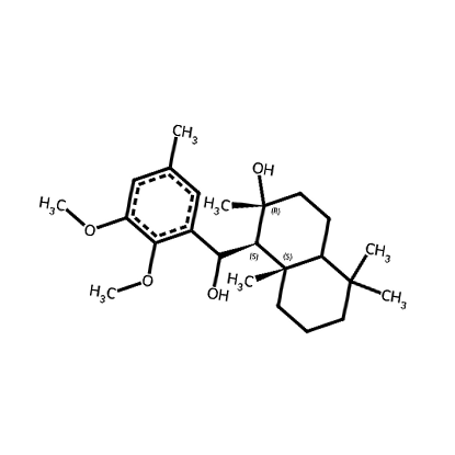 COc1cc(C)cc(C(O)[C@@H]2[C@@]3(C)CCCC(C)(C)C3CC[C@@]2(C)O)c1OC